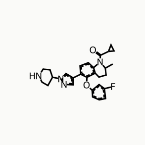 CC1CCc2c(ccc(-c3cnn(C4CCNCC4)c3)c2Oc2cccc(F)c2)N1C(=O)C1CC1